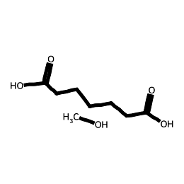 CO.O=C(O)CCCCCC(=O)O